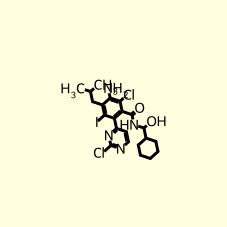 CC(C)Cc1c(N)c(Cl)c(C(=O)NC(O)C2CCCCC2)c(-c2ccnc(Cl)n2)c1I